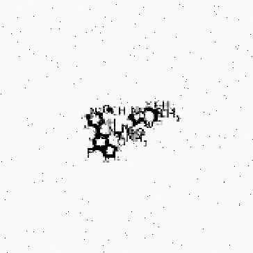 COc1cc(-c2cc(F)c3c(c2NC(=O)N=[S@@](N)(=O)c2cnn4c2OCC(C)(C)C4)CCC3)ccn1